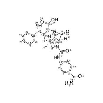 NC(=O)c1ccc(NC(=O)N2C[C@H]3CC(C(S)c4ccncc4)=C(C(=O)O)N4C(=O)[C@@H]2[C@@H]34)cc1